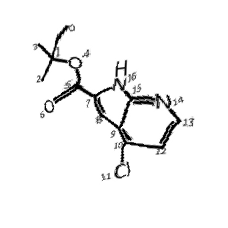 CC(C)(C)OC(=O)c1cc2c(Cl)ccnc2[nH]1